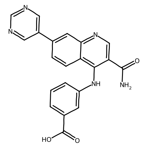 NC(=O)c1cnc2cc(-c3cncnc3)ccc2c1Nc1cccc(C(=O)O)c1